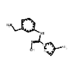 NCc1cccc(NC(=NO)n2cc(N)cn2)c1